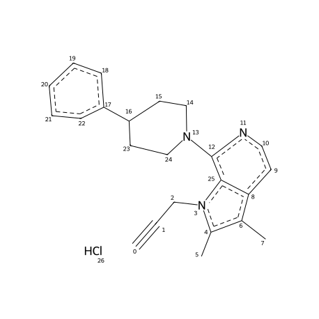 C#CCn1c(C)c(C)c2ccnc(N3CCC(c4ccccc4)CC3)c21.Cl